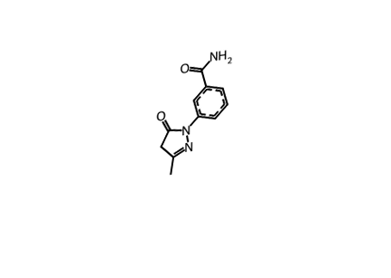 CC1=NN(c2cccc(C(N)=O)c2)C(=O)C1